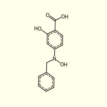 O=C(O)c1ccc(N(O)Cc2ccccc2)cc1O